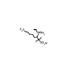 C=CCN.O=S(=O)(O)C(F)(F)C(F)CCCCCC(F)(F)F